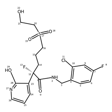 O=C(NCc1ccc(F)cc1Cl)[C@](F)(CCCS(=O)(=O)CCO)c1cccnc1O